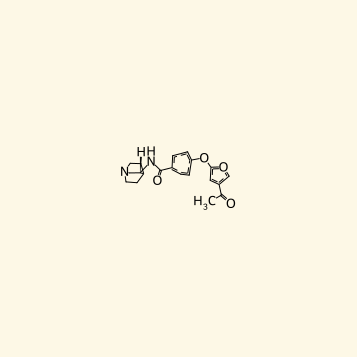 CC(=O)c1coc(Oc2ccc(C(=O)N[C@H]3CN4CCC3CC4)cc2)c1